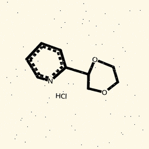 Cl.c1ccc(C2COCCO2)nc1